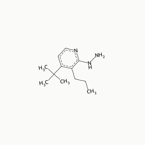 CCCc1c(C(C)(C)C)ccnc1NN